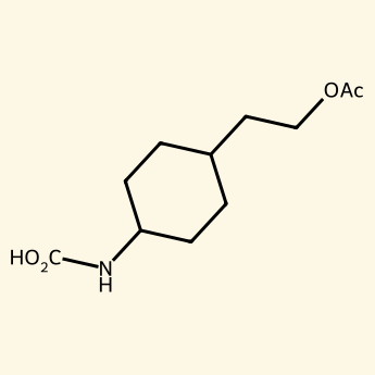 CC(=O)OCCC1CCC(NC(=O)O)CC1